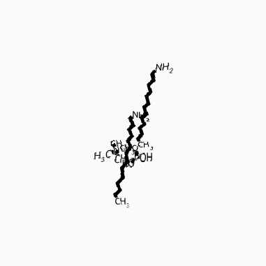 CCCCCCCCCCCCCCN.CCCCCCCCCCCCCCN.C[N+](C)(C)C.[O-]B(O)O